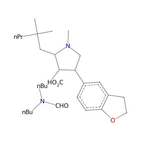 CCCC(C)(C)CC1C(C(=O)O)C(c2ccc3c(c2)CCO3)CN1C.CCCCN(C=O)CCCC